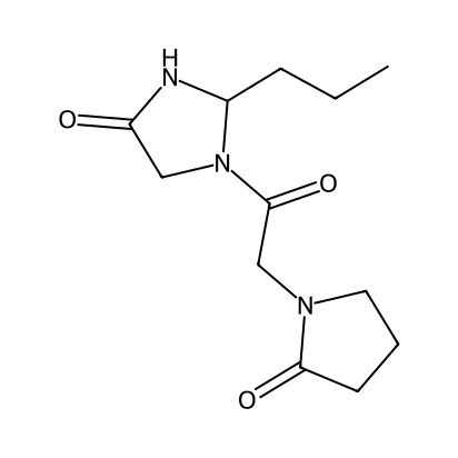 CCCC1NC(=O)CN1C(=O)CN1CCCC1=O